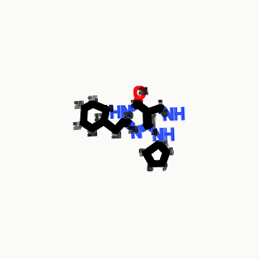 N=Cc1c(NC2CCCC2)nc(CC2CCCCC2)[nH]c1=O